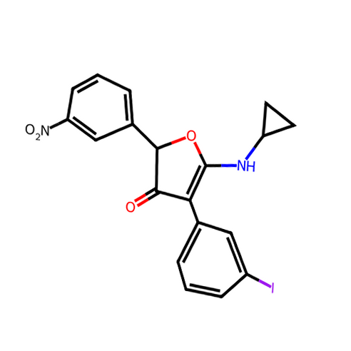 O=C1C(c2cccc(I)c2)=C(NC2CC2)OC1c1cccc([N+](=O)[O-])c1